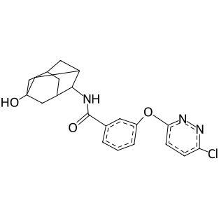 O=C(NC1C2CC3CC1CC(O)(C3)C2)c1cccc(Oc2ccc(Cl)nn2)c1